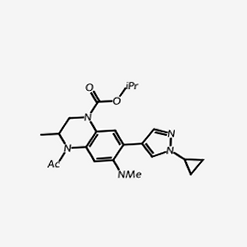 CNc1cc2c(cc1-c1cnn(C3CC3)c1)N(C(=O)OC(C)C)CC(C)N2C(C)=O